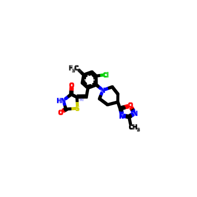 Cc1noc(C2CCN(c3c(Cl)cc(C(F)(F)F)cc3/C=C3/SC(=O)NC3=O)CC2)n1